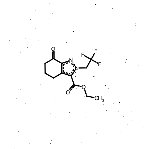 CCOC(=O)c1c2c(nn1CC(F)(F)F)C(=O)CCC2